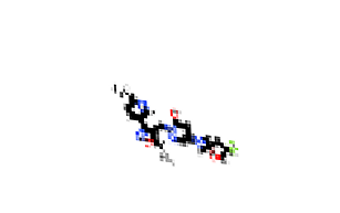 Cc1ccc(-c2noc(C)c2Cn2ncc(N3CC4(C3)CC(F)(F)CO4)cc2=O)cn1